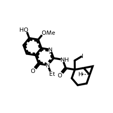 CCn1c(NC(=O)C2(CI)CCC[C@@H]3CC32)nc2c(OC)c(O)ccc2c1=O